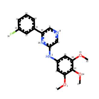 COc1cc(Nc2cncc(-c3cccc(F)c3)n2)cc(OC)c1OC